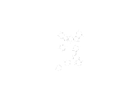 c1ccc(-c2ccc(-c3nc(-c4ccc(-c5nc6ccccc6c6cc7c8ccccc8n(-c8ccccc8)c7cc56)cc4)nc4ccccc34)cc2)cc1